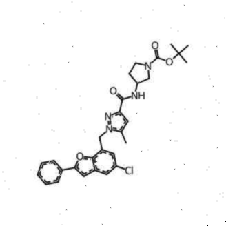 Cc1cc(C(=O)NC2CCN(C(=O)OC(C)(C)C)C2)nn1Cc1cc(Cl)cc2cc(-c3ccccc3)oc12